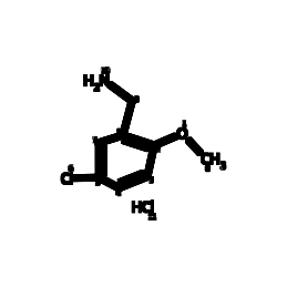 COc1ccc(Cl)cc1CN.Cl